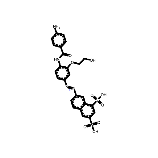 Nc1ccc(C(=O)Nc2ccc(/N=N/c3ccc4cc(S(=O)(=O)O)cc(S(=O)(=O)O)c4c3)cc2OCCO)cc1